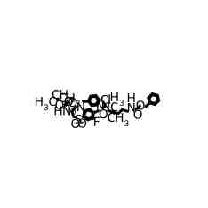 CC(C)(C)OC(=O)N[C@H]1CS(=O)(=O)c2cc(F)c(-c3nnc(C(C)(C)CCCNC(=O)OCc4ccccc4)o3)cc2N(Cc2ccc(Cl)cc2)C1=O